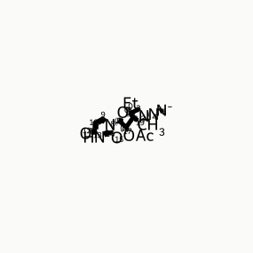 CC[C@@]1(CN=[N+]=[N-])O[C@@H](n2ccc(=O)[nH]c2=O)[C@@H](OC(C)=O)C1C